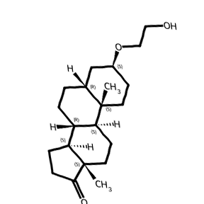 C[C@]12CC[C@H](OCCO)C[C@H]1CC[C@@H]1[C@@H]2CC[C@]2(C)C(=O)CC[C@@H]12